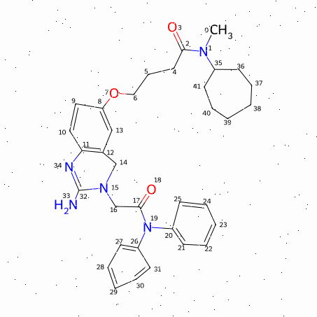 CN(C(=O)CCCOc1ccc2c(c1)CN(CC(=O)N(c1ccccc1)c1ccccc1)C(N)=N2)C1CCCCCC1